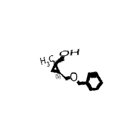 C[C@@]1(CO)C[C@@H]1COCc1ccccc1